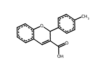 Cc1ccc(C2Oc3ccccc3C=C2C(=O)O)cc1